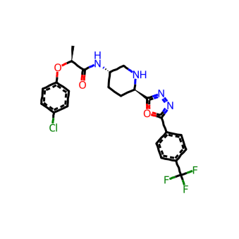 C[C@H](Oc1ccc(Cl)cc1)C(=O)N[C@H]1CC[C@H](c2nnc(-c3ccc(C(F)(F)F)cc3)o2)NC1